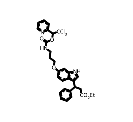 CCOC(=O)CC(c1ccccc1)c1c[nH]c2cc(OCCCNC(=O)OC(c3ccccn3)C(Cl)(Cl)Cl)ccc12